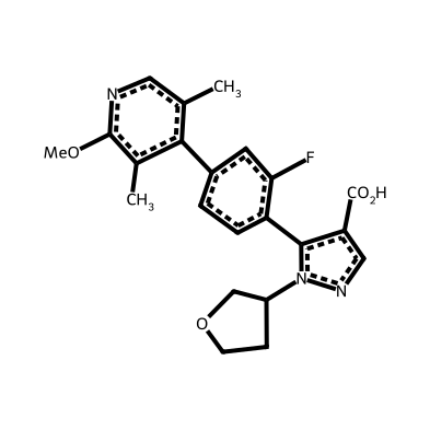 COc1ncc(C)c(-c2ccc(-c3c(C(=O)O)cnn3C3CCOC3)c(F)c2)c1C